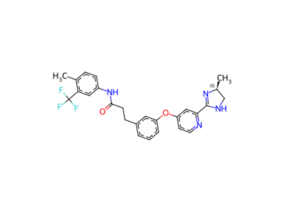 Cc1ccc(NC(=O)CCc2cccc(Oc3ccnc(C4=N[C@@H](C)CN4)c3)c2)cc1C(F)(F)F